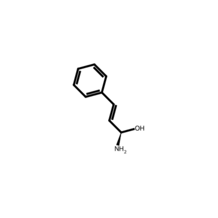 N[C@H](O)/C=C/c1ccccc1